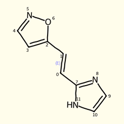 C(=C\c1ccno1)/c1ncc[nH]1